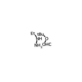 CC(C)(C)OC=O.CCNN